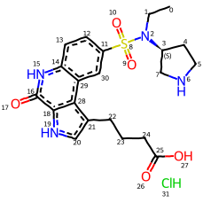 CCN([C@H]1CCNC1)S(=O)(=O)c1ccc2[nH]c(=O)c3[nH]cc(CCCC(=O)O)c3c2c1.Cl